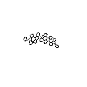 c1ccc(-n2c3ccccc3c3c(-c4c5ccccc5c(-c5cccc6c5oc5cccc(-c7c8ccccc8c(-c8cccc9c8c8ccccc8n9-c8ccccc8)c8ccccc78)c56)c5ccccc45)cccc32)cc1